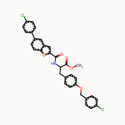 COC(=O)C(Cc1ccc(OCc2ccc(Cl)cc2)cc1)NC(=O)c1cc2cc(-c3ccc(Cl)cc3)ccc2s1